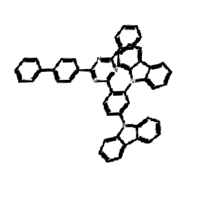 c1ccc(-c2ccc(-c3nc(-c4ccccc4)nc(-c4ccc(-n5c6ccccc6c6ccccc65)cc4-n4c5ccccc5c5ccccc54)n3)cc2)cc1